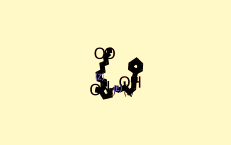 COC(=O)CCC/C=C\CN1C(=O)CC[C@@H]1/C=C/[C@@H](O)[C@@H](C)CC#Cc1ccccc1